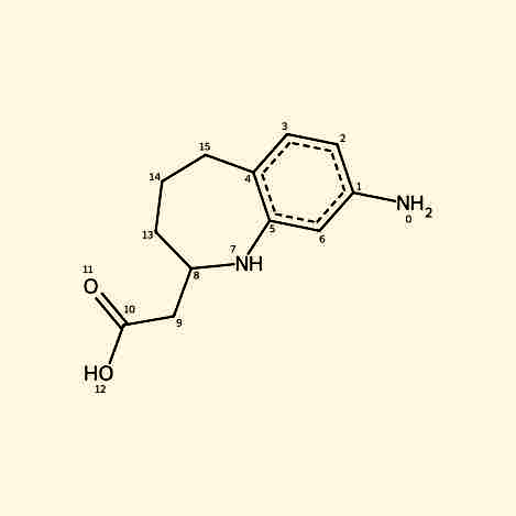 Nc1ccc2c(c1)NC(CC(=O)O)CCC2